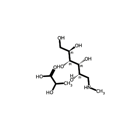 CC(O)C(=O)O.CNC[C@H](O)[C@@H](O)[C@H](O)[C@H](O)CO